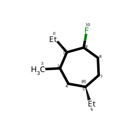 CCC1C(C)C[C@H](CC)CCC1F